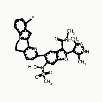 CNC(=O)c1c(-c2c(C)n[nH]c2C)oc2cc(N(C)S(C)(=O)=O)c(-c3ccc4c(n3)-c3cc5c(F)cccc5n3CC4)cc12